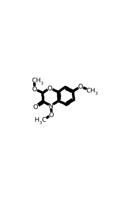 COc1ccc2c(c1)OC(OC)C(=O)N2OC